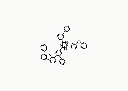 c1ccc(-c2cccc(-c3nc(-c4ccc(-c5cccc6c5sc5c(-c7ccccc7)cccc56)c(-c5ccccc5)c4)nc(-c4ccc5c(c4)oc4ccccc45)n3)c2)cc1